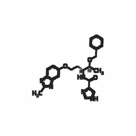 Cc1nc2cc(OCC[C@@H](NC(=O)c3c[nH]cn3)[C@H](C)OCc3ccccc3)ccc2s1